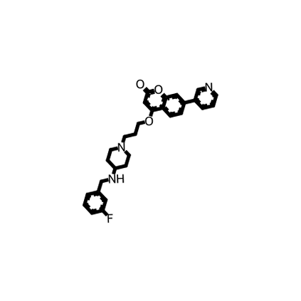 O=c1cc(OCCCN2CCC(NCc3cccc(F)c3)CC2)c2ccc(-c3cccnc3)cc2o1